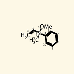 C=C[Si](C)(OC)c1ccccc1